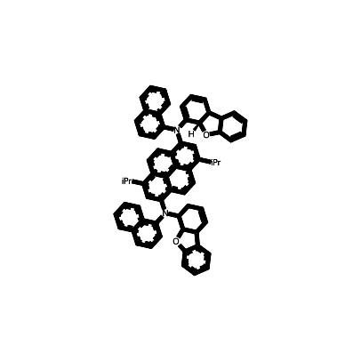 CC(C)c1cc(N(C2=CC=CC3C4C=CC=CC4O[C@H]23)c2cccc3ccccc23)c2ccc3c(C(C)C)cc(N(c4cccc5ccccc45)C4CC=CC5c6ccccc6OC54)c4ccc1c2c34